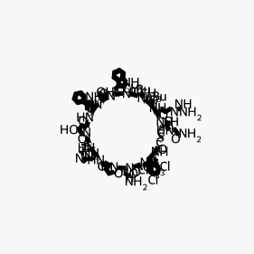 CCCC[C@H]1C(=O)N(C)[C@@H](CCCC)C(=O)N[C@@H](CCCNC(=N)N)C(=O)N[C@H](C(=O)NCC(N)=O)CSCC(=O)N[C@@H](Cc2ccc(Cl)cc2Cl)C(=O)N(C)[C@@H](C)C(=O)N[C@@H](CC(N)=O)C(=O)N2CCC[C@H]2C(=O)N[C@@H](Cc2cnc[nH]2)C(=O)N[C@@H](CC(C)C)C(=O)N2C[C@H](O)CC2C(=O)N[C@@H](Cc2c[nH]c3ccccc23)C(=O)N[C@@H](CO)C(=O)N[C@@H](Cc2c[nH]c3ccccc23)C(=O)N1C